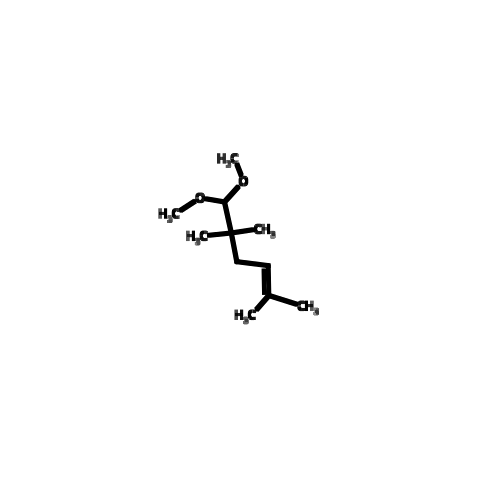 COC(OC)C(C)(C)CC=C(C)C